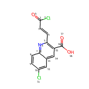 O=C(Cl)/C=C/c1nc2ccc(Cl)cc2cc1C(=O)O